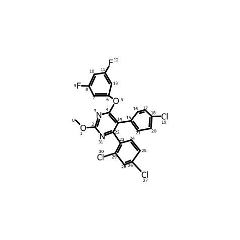 COc1nc(Oc2cc(F)cc(F)c2)c(-c2ccc(Cl)cc2)c(-c2ccc(Cl)cc2Cl)n1